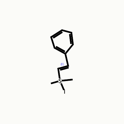 CS(C)(I)/C=C/c1ccccc1